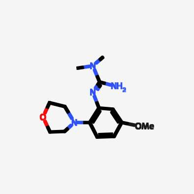 COc1ccc(N2CCOCC2)c(/N=C(\N)N(C)C)c1